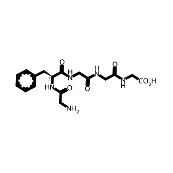 NCC(=O)N[C@@H](Cc1ccccc1)C(=O)NCC(=O)NCC(=O)NCC(=O)O